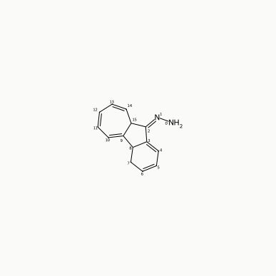 NN=C1C2=CC=CCC2C2=CC=CC=CC21